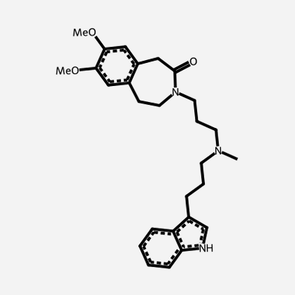 COc1cc2c(cc1OC)CC(=O)N(CCCN(C)CCCc1c[nH]c3ccccc13)CC2